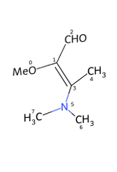 CO/C(C=O)=C(/C)N(C)C